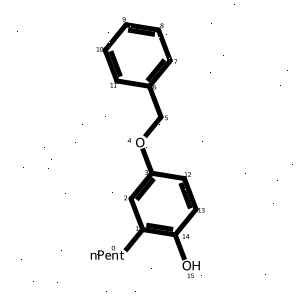 CCCCCc1cc(OCc2ccccc2)ccc1O